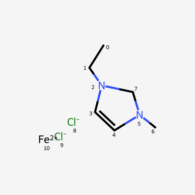 CCN1C=CN(C)C1.[Cl-].[Cl-].[Fe+2]